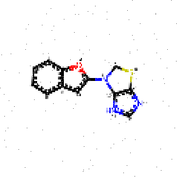 c1ccc2oc(N3CSc4nc[nH]c43)cc2c1